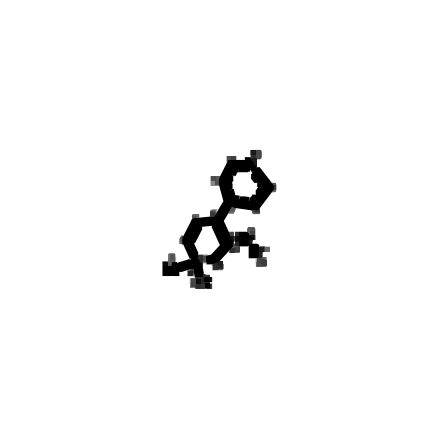 Br.CC[N+]1(CC)C=CC(c2ccncc2)=CC1.[Br-]